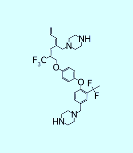 C=C/C=C(\C=C(/COc1ccc(Oc2ccc(CN3CCNCC3)cc2C(C)(F)F)cc1)C(F)(F)F)CN1CCNCC1